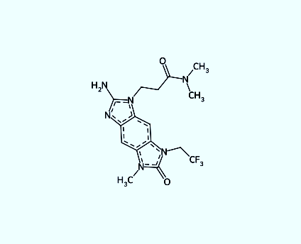 CN(C)C(=O)CCn1c(N)nc2cc3c(cc21)n(CC(F)(F)F)c(=O)n3C